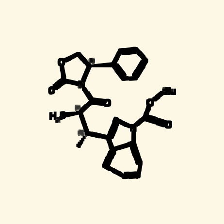 B[C@@H](C(=O)N1C(=O)OC[C@H]1c1ccccc1)[C@@H](C)c1cn(C(=O)OC(C)(C)C)c2ccccc12